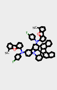 N#Cc1cccc2c1oc1c(N(c3ccc(F)cc3)c3ccc4c(c3)c3cc(N(c5ccc(F)cc5)c5cccc6c5oc5c(C#N)cccc56)cc5c3n4-c3ccccc3C53c4ccc5ccccc5c4-c4c3ccc3ccccc43)cccc12